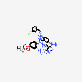 COc1ccc(N/N=C/c2c(N)ncnc2Nc2ccc3c(cnn3Cc3cccc(F)c3)c2)cc1